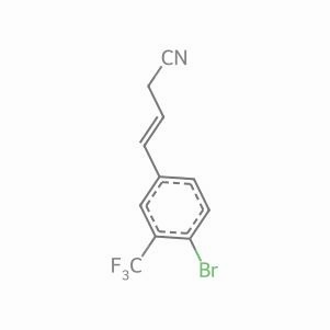 N#CCC=Cc1ccc(Br)c(C(F)(F)F)c1